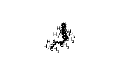 CC(C)=CCCC(C)=CCCC(C)=CCC[C@]1(C)CCc2c(C)c(OC(=O)Nc3ccccc3)c(C)c(C)c2O1